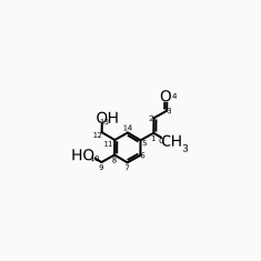 CC(=CC=O)c1ccc(CO)c(CO)c1